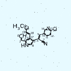 C=Cc1[nH]cc(/C(C#N)=C/c2ccc(Cl)nc2)c1/C=C/OC